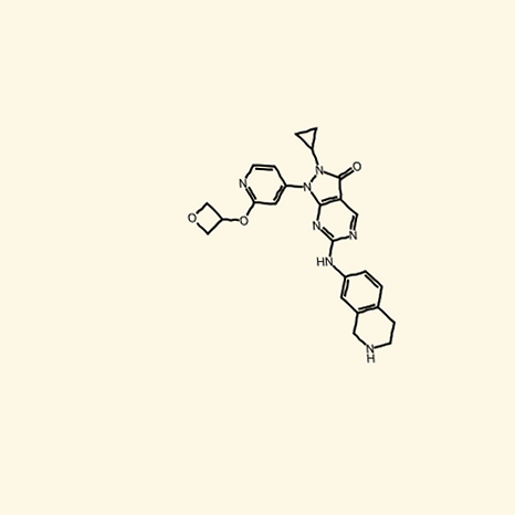 O=c1c2cnc(Nc3ccc4c(c3)CNCC4)nc2n(-c2ccnc(OC3COC3)c2)n1C1CC1